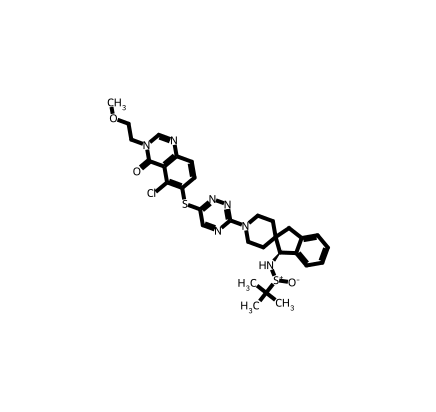 COCCn1cnc2ccc(Sc3cnc(N4CCC5(CC4)Cc4ccccc4[C@H]5N[S+]([O-])C(C)(C)C)nn3)c(Cl)c2c1=O